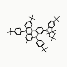 Cc1cc2c3c(c1)N(c1ccc(C(C)(C)C)cc1)c1cc(N4c5ccc(C(C)(C)C)cc5C5(C)CC(C)(C)CC45C)ccc1B3c1cc(C(C)(C)C)ccc1N2c1ccc(C(C)(C)C)cc1